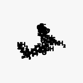 C[n+]1c(I)c(-c2ccc3c(c2)CCC([C@H](O/N=C(\C(=O)NC2C(=O)N(OS(=O)(=O)[O-])C2(C)C)c2csc(N)n2)C(=O)O)O3)cn1CCCN